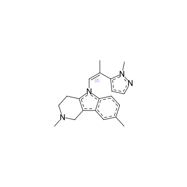 C/C(=C/n1c2c(c3cc(C)ccc31)CN(C)CC2)c1ccnn1C